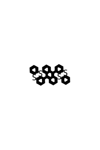 c1ccc2c(c1)Sc1cccc(-c3c4ccccc4c(-c4cccc5c4Sc4ccccc4S5)c4ccccc34)c1S2